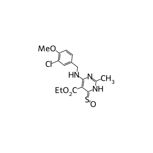 CCOC(=O)c1c(NCc2ccc(OC)c(Cl)c2)nc(C)[nH]c1=S=O